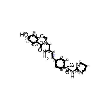 C=CN(CC(N)/C=C/c1ccc(S(=O)(=O)Nc2ncccn2)cc1)C(=O)c1ccc(O)cc1